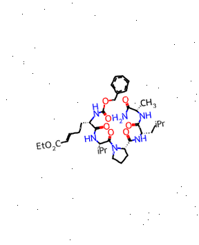 CCOC(=O)/C=C/CC[C@H](NC(=O)OCc1ccccc1)C(=O)N[C@H](C(=O)N1CCC[C@H]1C(=O)N[C@@H](CC(C)C)C(=O)N[C@@H](C)C(N)=O)C(C)C